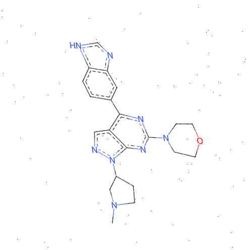 CN1CCC(n2ncc3c(-c4ccc5[nH]cnc5c4)nc(N4CCOCC4)nc32)C1